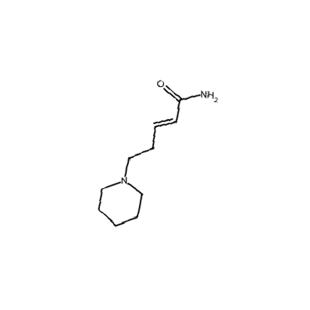 NC(=O)C=CCCN1CCCCC1